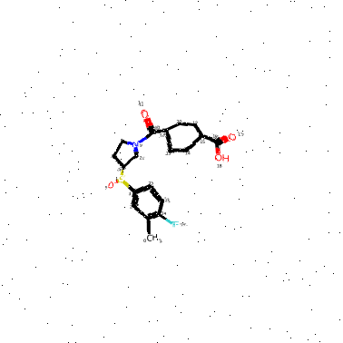 Cc1cc([S+]([O-])[C@H]2CCN(C(=O)C3CCC(C(=O)O)CC3)C2)ccc1F